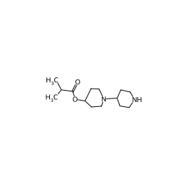 CC(C)C(=O)OC1CCN(C2CCNCC2)CC1